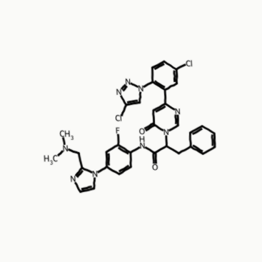 CN(C)Cc1nccn1-c1ccc(NC(=O)C(Cc2ccccc2)n2cnc(-c3cc(Cl)ccc3-n3cc(Cl)nn3)cc2=O)c(F)c1